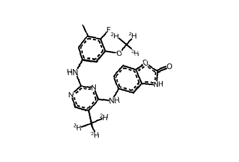 [2H]C([2H])([2H])Oc1cc(Nc2ncc(C([2H])([2H])[2H])c(Nc3ccc4oc(=O)[nH]c4c3)n2)cc(C)c1F